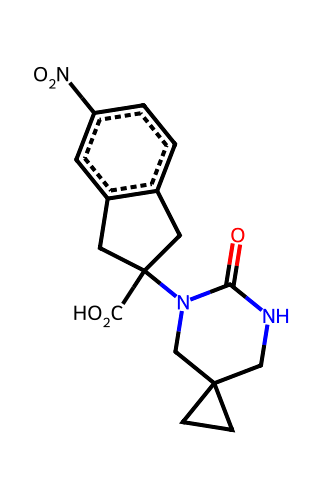 O=C1NCC2(CC2)CN1C1(C(=O)O)Cc2ccc([N+](=O)[O-])cc2C1